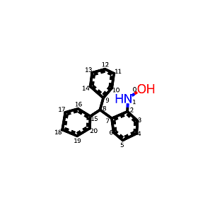 ONc1ccccc1C(c1ccccc1)c1ccccc1